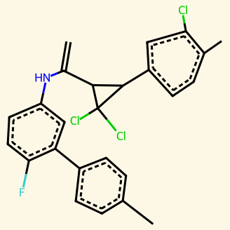 C=C(Nc1ccc(F)c(-c2ccc(C)cc2)c1)C1C(c2ccc(C)c(Cl)c2)C1(Cl)Cl